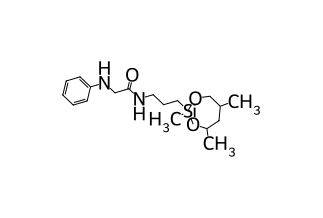 CC1CO[Si](C)(CCCNC(=O)CNc2ccccc2)OC(C)C1